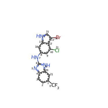 FC(F)(F)c1ccc2nc(Nc3cc(Cl)c4c(Br)c[nH]c4c3)[nH]c2c1